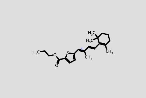 CCCOC(=O)c1ccc(/C=C(\C)C=CC2=C(C)CCCC2(C)C)s1